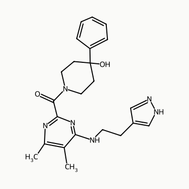 Cc1nc(C(=O)N2CCC(O)(c3ccccc3)CC2)nc(NCCc2cn[nH]c2)c1C